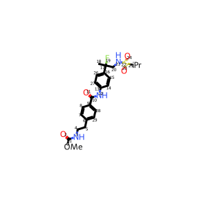 COC(=O)NCCc1ccc(C(=O)Nc2ccc(C(C)(F)CNS(=O)(=O)C(C)C)cc2)cc1